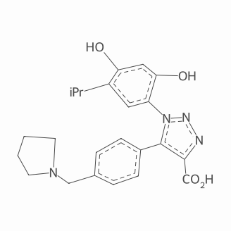 CC(C)c1cc(-n2nnc(C(=O)O)c2-c2ccc(CN3CCCC3)cc2)c(O)cc1O